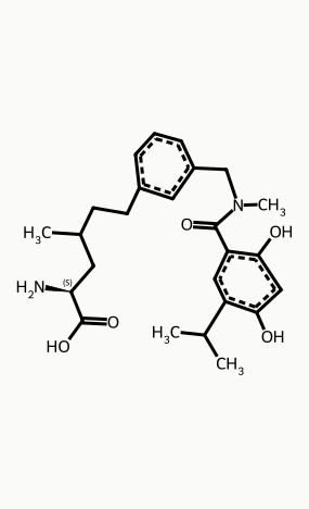 CC(CCc1cccc(CN(C)C(=O)c2cc(C(C)C)c(O)cc2O)c1)C[C@H](N)C(=O)O